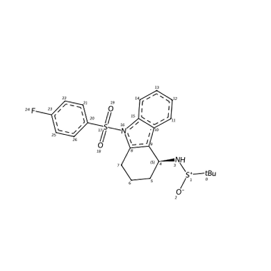 CC(C)(C)[S+]([O-])N[C@H]1CCCc2c1c1ccccc1n2S(=O)(=O)c1ccc(F)cc1